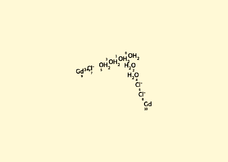 O.O.O.O.O.O.[Cl-].[Cl-].[Cl-].[Gd+3].[Gd]